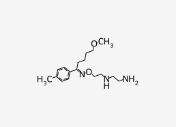 COCCCC/C(=N\OCCNCCN)c1ccc(C)cc1